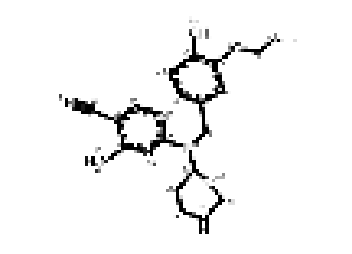 CCOc1cc(CN(c2ncc(C#N)c(N)n2)C2CCNCC2)ccc1C